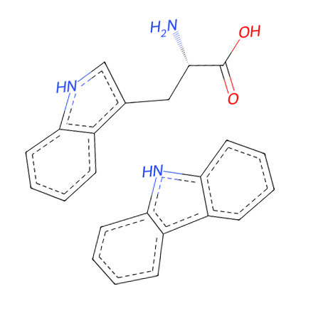 N[C@@H](Cc1c[nH]c2ccccc12)C(=O)O.c1ccc2c(c1)[nH]c1ccccc12